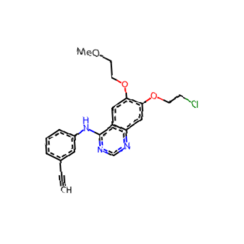 C#Cc1cccc(Nc2ncnc3cc(OCCCl)c(OCCOC)cc23)c1